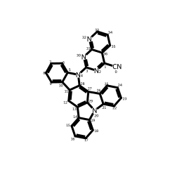 N#Cc1nc(-n2c3ccccc3c3cc4c5ccccc5n5c6ccccc6c(c32)c45)nc2ncccc12